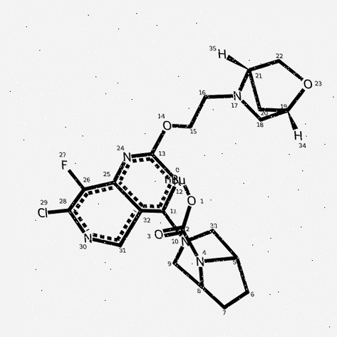 CCCCOC(=O)N1C2CCC1CN(c1nc(OCCN3C[C@@H]4C[C@H]3CO4)nc3c(F)c(Cl)ncc13)C2